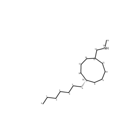 CCCCCCC[C@H]1CCCCC(CNC)CCC1